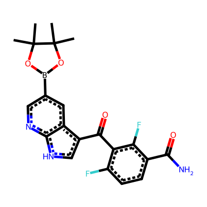 CC1(C)OB(c2cnc3[nH]cc(C(=O)c4c(F)ccc(C(N)=O)c4F)c3c2)OC1(C)C